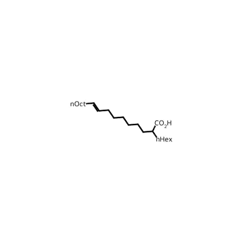 CCCCCCCC/C=C/CCCCCCC(CCCCCC)C(=O)O